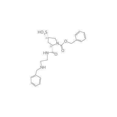 O=C(NCCNCc1ccccc1)[C@@H]1C[C@H](S(=O)(=O)O)CN1C(=O)OCc1ccccc1